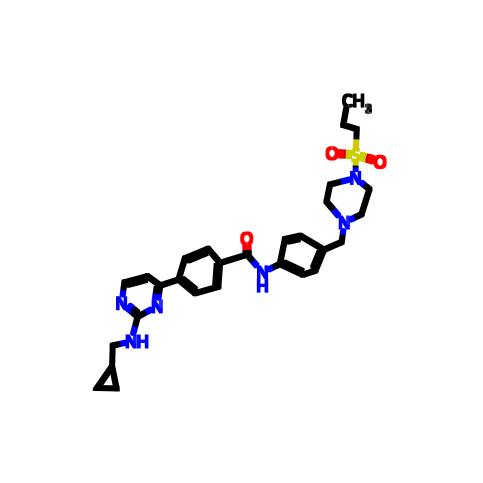 CCCS(=O)(=O)N1CCN(Cc2ccc(NC(=O)c3ccc(-c4ccnc(NCC5CC5)n4)cc3)cc2)CC1